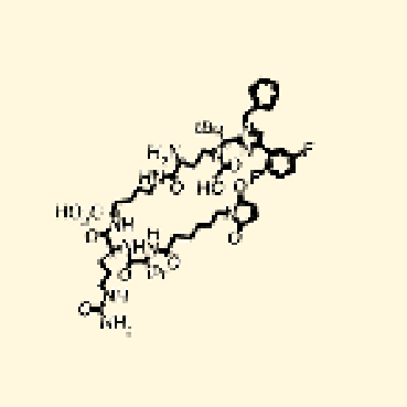 CC(C)[C@H](NC(=O)CCCCCN1C(=O)C=CC1=O)C(=O)N[C@@H](CCCNC(N)=O)C(=O)N[C@@H](CCCCNC(=O)[C@@H](N)CCN(C(=O)CO)[C@@H](c1nc(-c2cc(F)ccc2F)cn1Cc1ccccc1)C(C)(C)C)C(=O)O